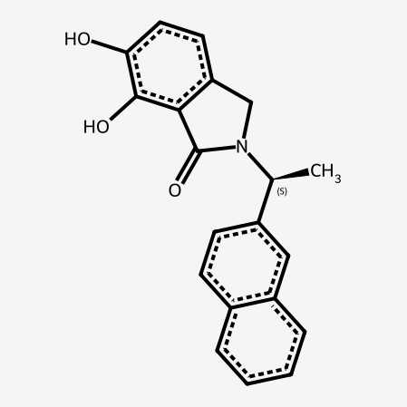 C[C@@H](c1ccc2ccccc2c1)N1Cc2ccc(O)c(O)c2C1=O